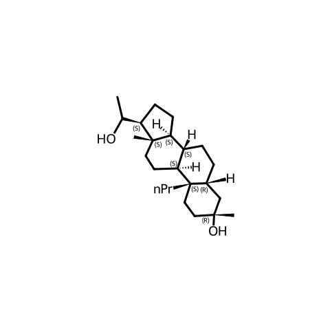 CCC[C@]12CC[C@@](C)(O)C[C@H]1CC[C@H]1[C@@H]3CC[C@H](C(C)O)[C@@]3(C)CC[C@@H]12